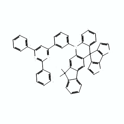 CC1(C)c2ccccc2-c2cc3c(cc21)N(c1cccc(-c2cc(-c4ccccc4)nc(-c4ccccc4)n2)c1)c1ccccc1C31c2ccsc2-c2sccc21